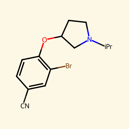 CC(C)N1CCC(Oc2ccc(C#N)cc2Br)C1